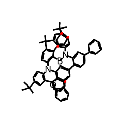 CC(C)(C)c1ccc(N2B3c4c(ccc5c4-c4ccccc4C5(C)C)N(c4ccc(C(C)(C)C)cc4-c4ccccc4)c4c3c(cc3c4oc4ccccc43)-c3ccc(-c4ccccc4)cc32)cc1